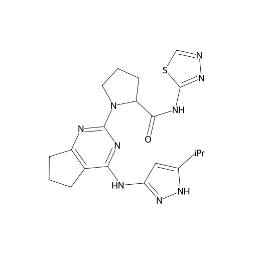 CC(C)c1cc(Nc2nc(N3CCCC3C(=O)Nc3nncs3)nc3c2CCC3)n[nH]1